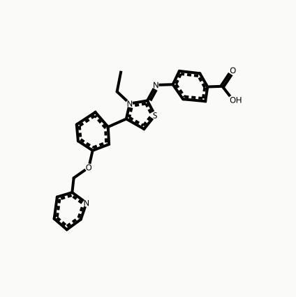 CCn1c(-c2cccc(OCc3ccccn3)c2)csc1=Nc1ccc(C(=O)O)cc1